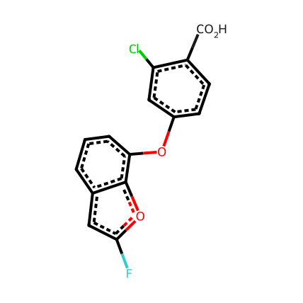 O=C(O)c1ccc(Oc2cccc3cc(F)oc23)cc1Cl